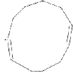 [C]1=CCCCC=CCCCC1